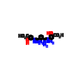 N/C(=C\N(N)C1=CC=C(C(=O)O)C(O)C1)c1cccc(/C(N)=C/N(N)c2ccc(C(=O)O)c(O)c2)c1